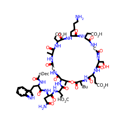 CCCCCCCCCCC(=O)NC(Cc1c[nH]c2ccccc12)C(=O)NC(CC(N)=O)C(=O)NC(CC(=O)O)C(=O)NC1C(=O)NCC(=O)NC(C)C(=O)NC(CC(=O)O)C(=O)NC(CCCCN)C(=O)NC(CC(=O)O)C(=O)NCC(=O)NC(CO)C(=O)NC(CCC(=O)O)C(=O)NC(C(C)CC)C(=O)OC1C